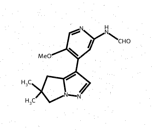 COc1cnc(NC=O)cc1-c1cnn2c1CC(C)(C)C2